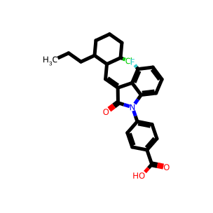 CCCC1CCCC(Cl)C1/C=C1/C(=O)N(c2ccc(C(=O)O)cc2)c2cccc(F)c21